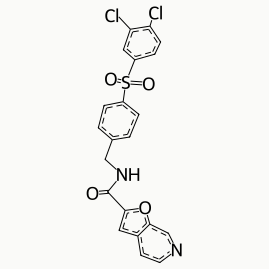 O=C(NCc1ccc(S(=O)(=O)c2ccc(Cl)c(Cl)c2)cc1)c1cc2ccncc2o1